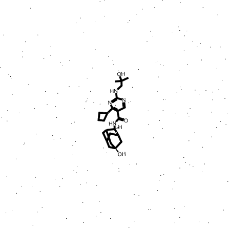 CC(C)(O)CNc1ncc(C(=O)N[C@H]2C3CC4CC2C[C@@](O)(C4)C3)c(C2CCC2)n1